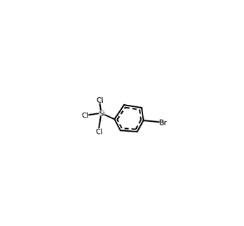 Cl[Si](Cl)(Cl)c1ccc(Br)cc1